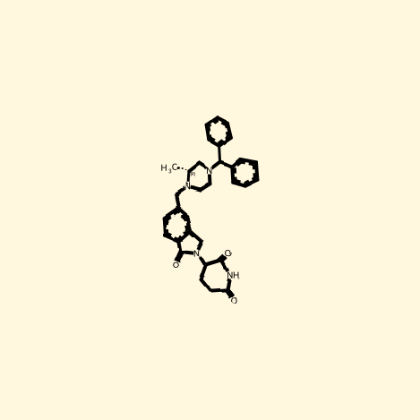 C[C@@H]1CN(C(c2ccccc2)c2ccccc2)CCN1Cc1ccc2c(c1)CN(C1CCC(=O)NC1=O)C2=O